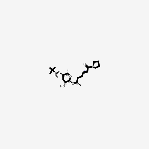 C[C@H](CC/C=C/C(=O)N1CCCC1)O[C@@H]1O[C@@H](C)[C@H](O[SiH2]C(C)(C)C)C[C@H]1O